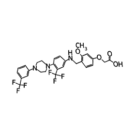 COc1cc(OCC(=O)O)ccc1CNc1ccc(N2CCN(c3cccc(C(F)(F)F)c3)CC2)c(C(F)(F)F)c1